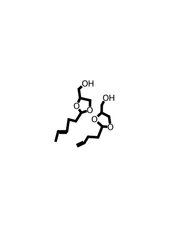 C=CCCC1OCC(CO)O1.CC=CCCC1OCC(CO)O1